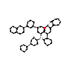 c1ccc(-c2ccc(N(c3cccc(-c4cccc(-c5ccc6ccccc6c5)c4)c3)c3ccccc3-c3ccc4oc5ccccc5c4c3)cc2)cc1